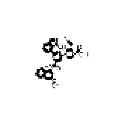 COc1cc(NC(=O)c2cc(N3CCN(C(=O)O)[C@@H](CC#N)C3)nc(-c3cccc4cnn(C)c34)n2)c2ccccc2c1